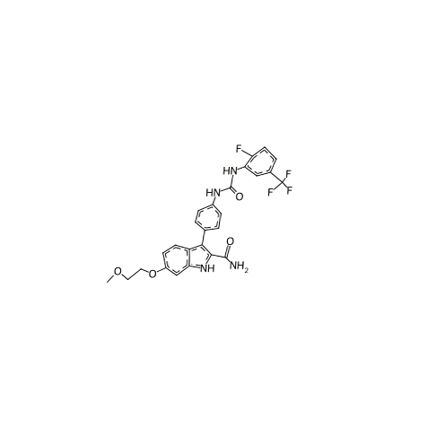 COCCOc1ccc2c(-c3ccc(NC(=O)Nc4cc(C(F)(F)F)ccc4F)cc3)c(C(N)=O)[nH]c2c1